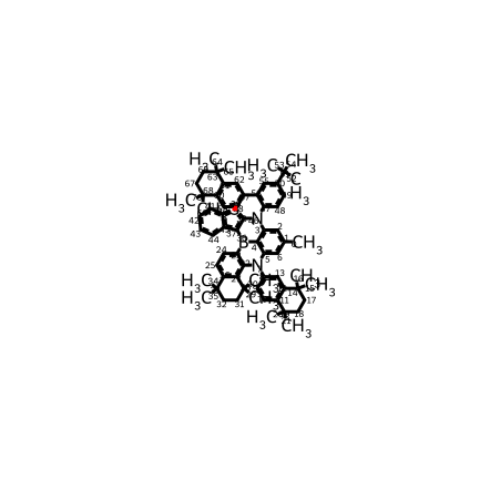 Cc1cc2c3c(c1)N(c1ccc4c(c1)C(C)(C)CCC4(C)C)c1c(ccc4c1C(C)(C)CCC4(C)C)B3c1c(sc3ccccc13)N2c1ccc(C(C)(C)C)cc1-c1ccc2c(c1)C(C)(C)CCC2(C)C